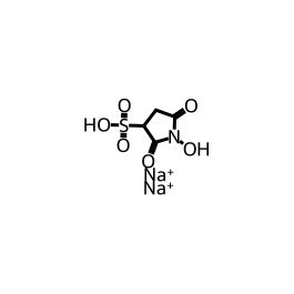 O=C1CC(S(=O)(=O)O)C(=O)N1O.[Na+].[Na+]